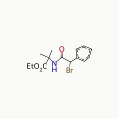 CCOC(=O)C(C)(C)NC(=O)C(Br)c1ccccc1